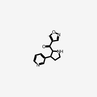 O=C(c1[c]onc1)C1NCCC1c1cccnc1